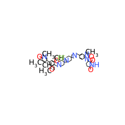 COc1cc(-c2cn(C)c(=O)c(C)c2C)cc(OC)c1CN1CCC(N2CCC3(CC2)CN(Cc2ccc4c(c2)n(C)c(=O)n4C2CCC(=O)NC2=O)C3)C(F)(F)C1